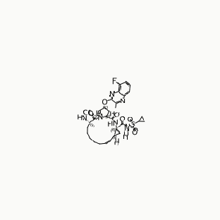 Cc1nc2cccc(F)c2nc1O[C@@H]1C[C@H]2C(=O)N[C@]3(C(=O)NS(=O)(=O)C4CC4)C[C@H]3C=CCCCCC[C@H](NC(=O)O)C(=O)N2C1